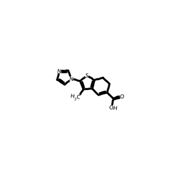 Cc1c(-n2ccnc2)sc2c1C=C(C(=O)O)CC2